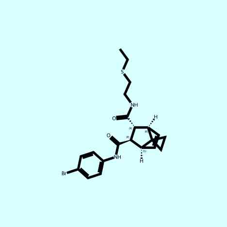 CCSCCNC(=O)[C@H]1[C@H](C(=O)Nc2ccc(Br)cc2)[C@@H]2C=C[C@H]1C21CC1